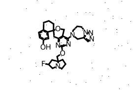 Oc1ccc2c(c1)C1(CCC2)Cc2nc(OCC34CCCN3CC(F)C4)nc(N3CCCn4nncc4C3)c2CO1